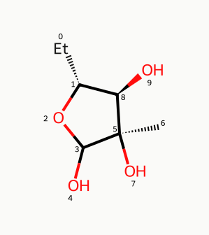 CC[C@H]1OC(O)[C@](C)(O)[C@@H]1O